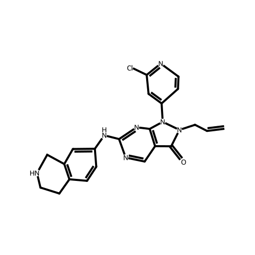 C=CCn1c(=O)c2cnc(Nc3ccc4c(c3)CNCC4)nc2n1-c1ccnc(Cl)c1